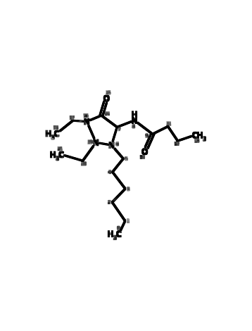 CCCCCCN1C(NC(=O)CCC)C(=O)N(CC)N1CC